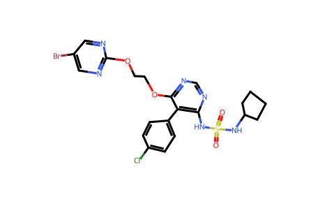 O=S(=O)(Nc1ncnc(OCCOc2ncc(Br)cn2)c1-c1ccc(Cl)cc1)NC1CCCC1